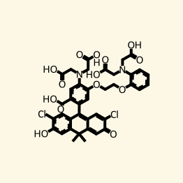 CC1(C)C2=CC(=O)C(Cl)=CC2=C(c2cc(OCCOc3ccccc3N(CC(=O)O)CC(=O)O)c(N(CC(=O)O)CC(=O)O)cc2C(=O)O)c2cc(Cl)c(O)cc21